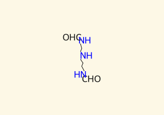 O=CNCCCCNCCCNC=O